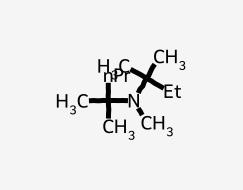 CCCC(C)(C)N(C)C(C)(C)CC